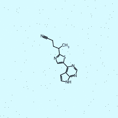 CC(CCC#N)c1ncc(-c2ncnc3[nH]ccc23)s1